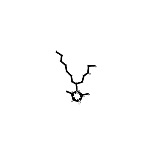 CCCCCCCC(CCCCC)n1c(C)cnc1C